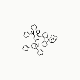 c1ccc(-c2cc(-c3ccccc3)nc(-c3cc(-c4cccc5c4-c4ccccc4C54C5CC6CC7CC4C67C5)c4c(c3)N(c3ccccc3)c3ccccc3O4)c2)cc1